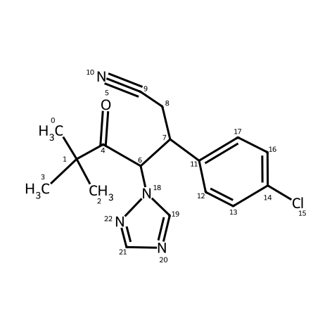 CC(C)(C)C(=O)C(C(CC#N)c1ccc(Cl)cc1)n1cncn1